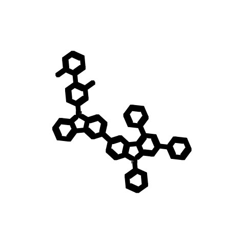 Cc1ccccc1-c1ccc(-n2c3ccccc3c3cc(-c4ccc5c(c4)c4c(-c6ccccc6)cc(-c6ccccc6)cc4n5-c4ccccc4)ccc32)cc1C